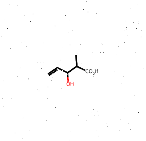 C=CC(O)C(C)C(=O)O